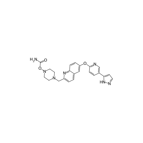 NC(=O)ON1CCN(Cc2ccc3cc(Oc4ccc(-c5ccn[nH]5)cn4)ccc3n2)CC1